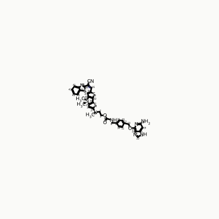 CN(CCOC(=O)NCc1ccc(COc2nc(N)cc3[nH]cnc23)cc1)c1cc2c(s1)-c1sc(/C=C(/C#N)c3nc4ccccc4s3)cc1[Si]2(C)C